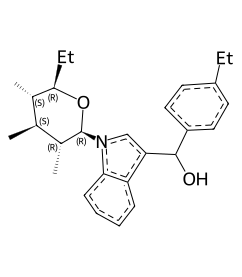 CCc1ccc(C(O)c2cn([C@@H]3O[C@H](CC)[C@@H](C)[C@H](C)[C@H]3C)c3ccccc23)cc1